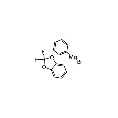 FC1(F)Oc2ccccc2O1.[Br][Mg][c]1ccccc1